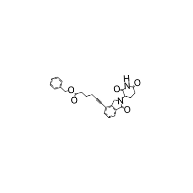 O=C1CCC(N2Cc3c(C#CCCCC(=O)OCc4ccccc4)cccc3C2=O)C(=O)N1